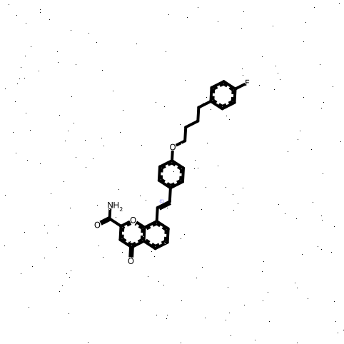 NC(=O)c1cc(=O)c2cccc(/C=C/c3ccc(OCCCCc4ccc(F)cc4)cc3)c2o1